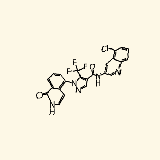 O=C(Nc1cnc2cccc(Cl)c2c1)c1cnn(-c2cccc3c(=O)[nH]ccc23)c1C(F)(F)F